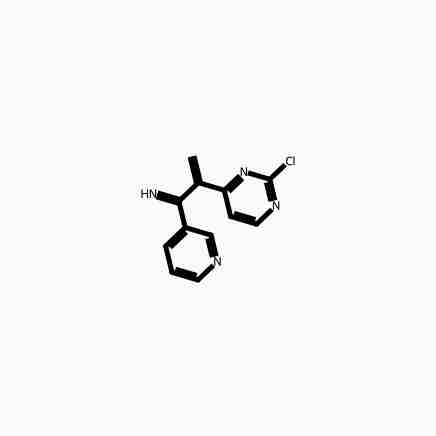 C=C(C(=N)c1cccnc1)c1ccnc(Cl)n1